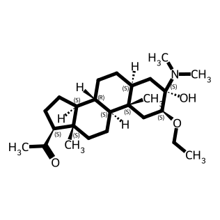 CCO[C@H]1C[C@@]2(C)[C@@H](CC[C@@H]3[C@@H]2CC[C@]2(C)[C@@H](C(C)=O)CC[C@@H]32)C[C@@]1(O)N(C)C